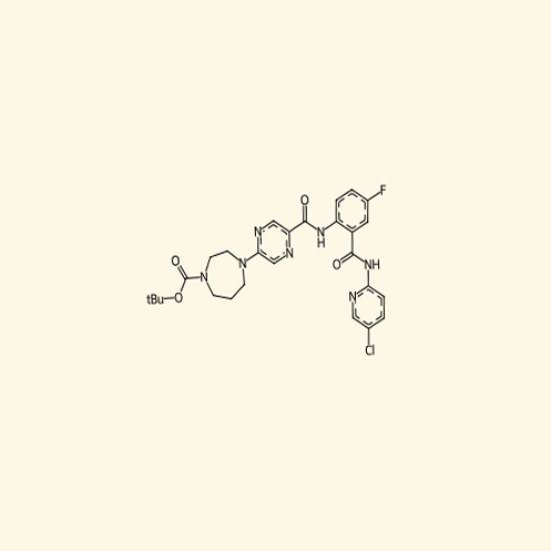 CC(C)(C)OC(=O)N1CCCN(c2cnc(C(=O)Nc3ccc(F)cc3C(=O)Nc3ccc(Cl)cn3)cn2)CC1